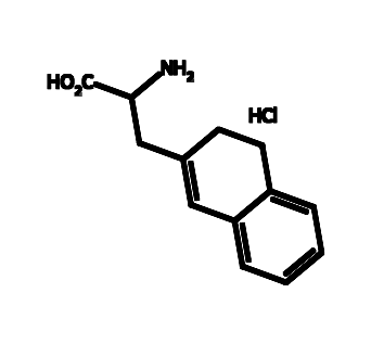 Cl.NC(CC1=Cc2ccccc2CC1)C(=O)O